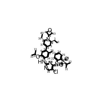 CC[C@H]1CC(c2cc(OC(C)C)c(Nc3ncc(Cl)c(Nc4ccccc4S(=O)(=O)C(C)C)n3)cc2C)=C[C@H](CC)N1C1COC1